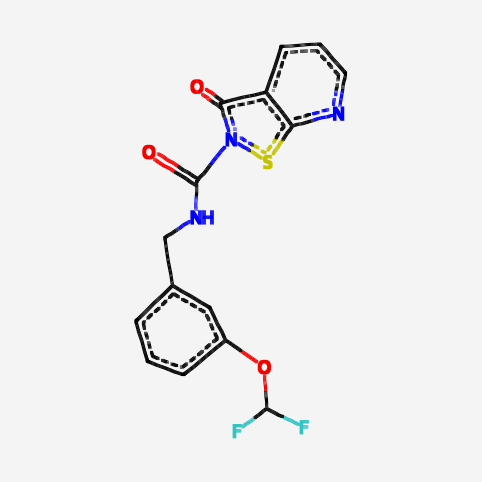 O=C(NCc1cccc(OC(F)F)c1)n1sc2ncccc2c1=O